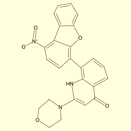 O=c1cc(N2CCOCC2)[nH]c2c(-c3ccc([N+](=O)[O-])c4c3oc3ccccc34)cccc12